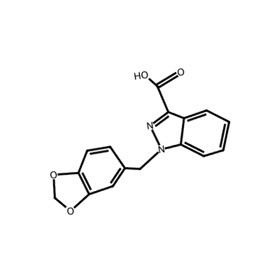 O=C(O)c1nn(Cc2ccc3c(c2)OCO3)c2ccccc12